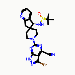 CC(C)(C)[S+]([O-])N[C@@H]1c2cccnc2CC12CCN(c1nc(C#N)c3c(Br)n[nH]c3n1)CC2